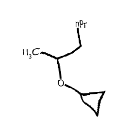 [CH2]CCCC(C)OC1CC1